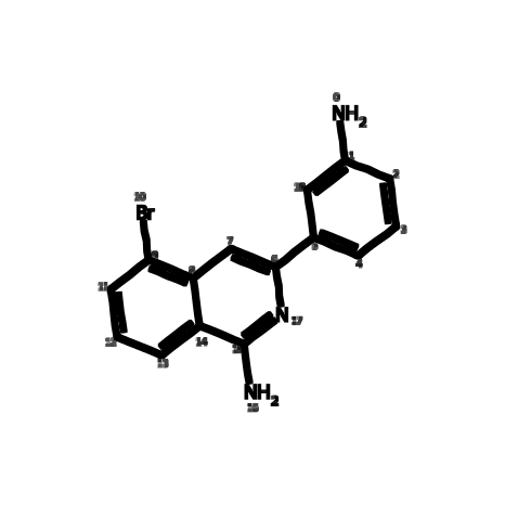 Nc1cccc(-c2cc3c(Br)cccc3c(N)n2)c1